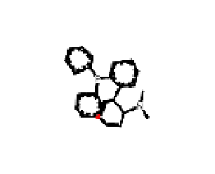 CN(C)C1C=CC=CC1c1ccccc1P(c1ccccc1)c1ccccc1